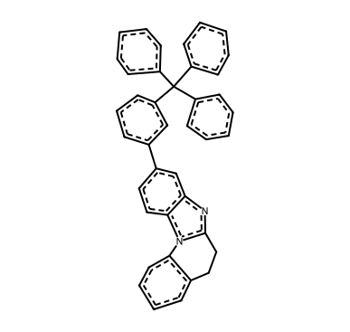 c1ccc(C(c2ccccc2)(c2ccccc2)c2cccc(-c3ccc4c(c3)nc3n4-c4ccccc4CC3)c2)cc1